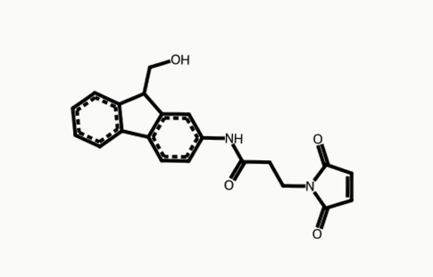 O=C(CCN1C(=O)C=CC1=O)Nc1ccc2c(c1)C(CO)c1ccccc1-2